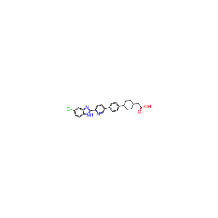 O=C(O)CC1CCC(c2ccc(-c3ccc(-c4nc5cc(Cl)ccc5[nH]4)nc3)cc2)CC1